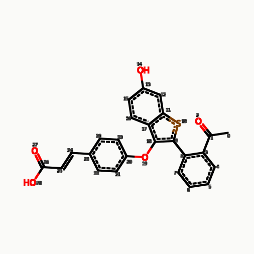 CC(=O)c1ccccc1-c1sc2cc(O)ccc2c1Oc1ccc(C=CC(=O)O)cc1